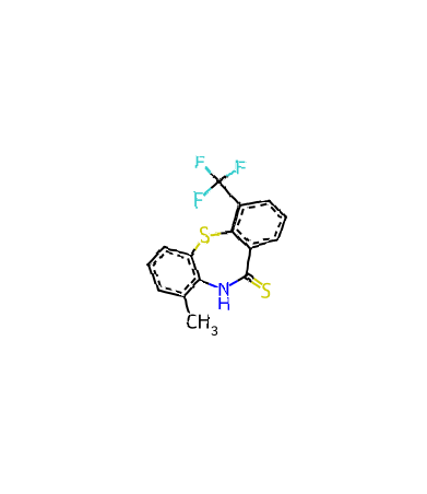 Cc1cccc2c1NC(=S)c1cccc(C(F)(F)F)c1S2